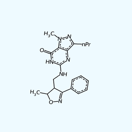 CCCc1nn(C)c2c(=O)[nH]c(NCC3C(c4ccccc4)=NOC3C)nc12